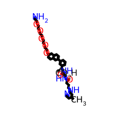 Cc1ccnc(NCCCC(=O)NCC(=O)N[C@@H](CC(=O)O)c2cccc(-c3ccc4cc(OCCOCCOCCOCCOCCN)ccc4c3)c2)c1